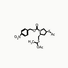 CC(=O)OC(C)SC[C@@H]1C[C@H](SC(C)=O)CN1C(=O)OCc1ccc([N+](=O)[O-])cc1